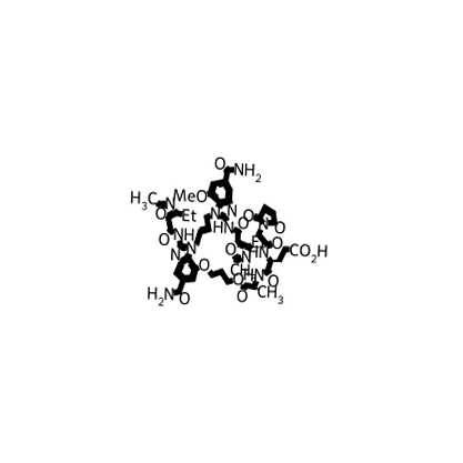 CCc1nc(C)oc1C(=O)Nc1nc2cc(C(N)=O)cc(OC)c2n1C/C=C/Cn1c(NC(=O)c2oc(C)nc2CC)nc2cc(C(N)=O)cc(OCCCOC(=O)[C@@H](C)NC(=O)[C@H](CCC(=O)O)NC(=O)CN3C(=O)C=CC3=O)c21